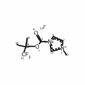 C[n+]1ccn(C(=O)OC(C)(C)C(F)(F)F)c1.[I-]